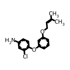 CC(C)=CCOc1cccc(Oc2ccc(N)cc2Cl)c1